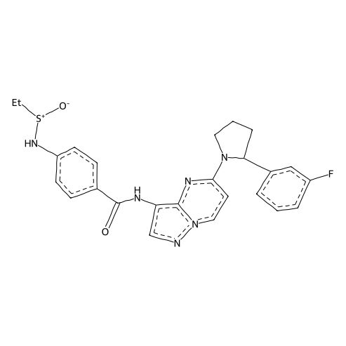 CC[S+]([O-])Nc1ccc(C(=O)Nc2cnn3ccc(N4CCCC4c4cccc(F)c4)nc23)cc1